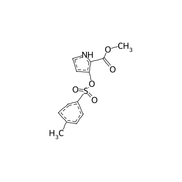 COC(=O)c1[nH]ccc1OS(=O)(=O)c1ccc(C)cc1